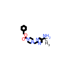 CC(N)c1cnc(CN2CCN(C(=O)OCc3ccccc3)CC2)nc1